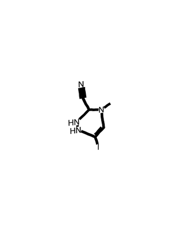 CN1C=C(I)NNC1C#N